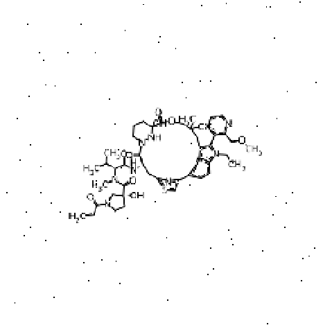 C=CC(=O)N1CC[C@](O)(C(=O)N(C)[C@H](C(=O)N[C@H]2Cc3nc(cs3)-c3ccc4c(c3)c(c(-c3cccnc3COC)n4CC)CC(C)(C)COC(=O)[C@@]3(O)CCCN(N3)C2=O)C(C)C)C1